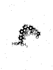 COc1cc(-c2nccc(-c3cccc(Nc4nccc(CN(C)CCO)c4F)c3Cl)c2Cl)ccc1CNC[C@@H]1CCC(=O)N1